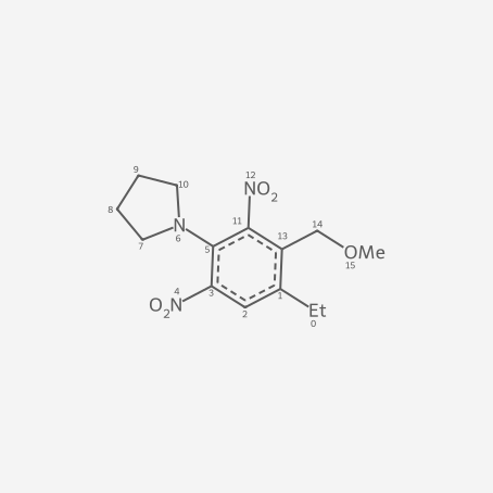 CCc1cc([N+](=O)[O-])c(N2CCCC2)c([N+](=O)[O-])c1COC